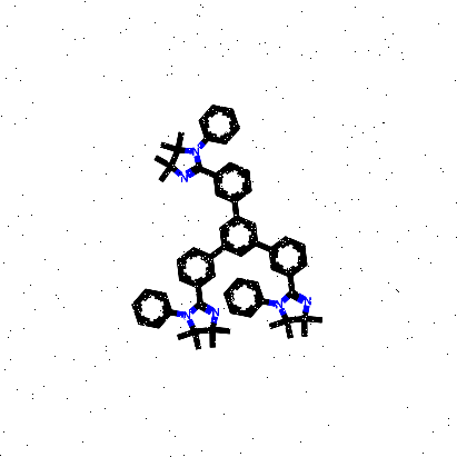 CC1(C)N=C(c2cccc(-c3cc(-c4cccc(C5=NC(C)(C)C(C)(C)N5c5ccccc5)c4)cc(-c4cccc(C5=NC(C)(C)C(C)(C)N5c5ccccc5)c4)c3)c2)N(c2ccccc2)C1(C)C